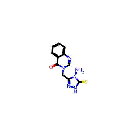 Nn1c(Cn2cnc3ccccc3c2=O)n[nH]c1=S